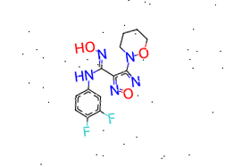 O/N=C(\Nc1ccc(F)c(F)c1)c1nonc1N1CCCCO1